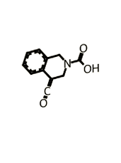 O=C=C1CN(C(=O)O)Cc2ccccc21